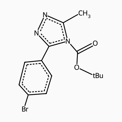 Cc1nnc(-c2ccc(Br)cc2)n1C(=O)OC(C)(C)C